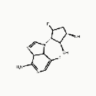 NC1=NC=C(F)C2C1N=CN2[C@@H]1C(F)C[C@@H](O)[C@H]1O